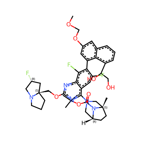 COCOc1cc(-c2c(F)cc3c(N4C[C@H]5CC[C@@](C)(C4)N5C(=O)OC(C)(C)C)nc(OC[C@@]45CCCN4C[C@H](F)C5)nc3c2F)c2c(C(O)CO)cccc2c1